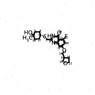 C[C@]1(O)CC[C@H](SCc2nc3cc(OCC4CCOC4)cc(F)c3c(=O)[nH]2)CC1